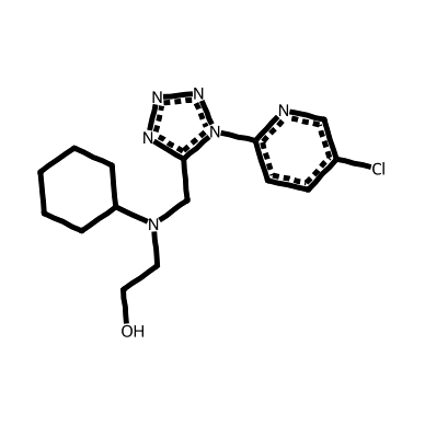 OCCN(Cc1nnnn1-c1ccc(Cl)cn1)C1CCCCC1